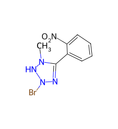 CN1NN(Br)N=C1c1ccccc1[N+](=O)[O-]